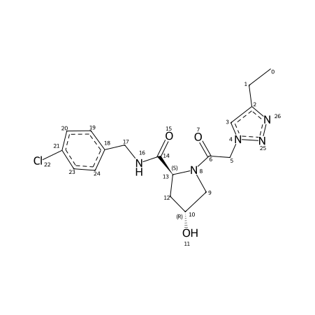 CCc1cn(CC(=O)N2C[C@H](O)C[C@H]2C(=O)NCc2ccc(Cl)cc2)nn1